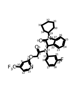 O=C1C(N(C(=O)COc2cc(C(F)(F)F)ccn2)c2cccc(F)c2)c2ccccc2N1C1CCCCC1